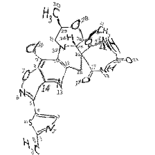 Cc1ncc(-c2noc3c(Cl)c4c(nc23)CC2(C(=O)NC(=O)NC2=O)[C@H]2[C@H](C)O[C@H](C)CN42)s1